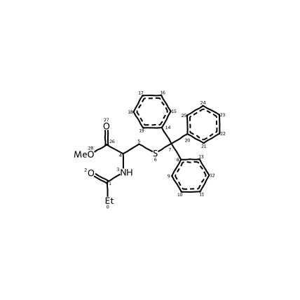 CCC(=O)NC(CSC(c1ccccc1)(c1ccccc1)c1ccccc1)C(=O)OC